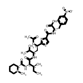 CC[C@H](C)[C@H](NC(=O)[C@H]1CCCCN1C)C(=O)N[C@H](C[C@@H](OC(C)=O)c1nc(C(=O)N[C@@H](Cc2ccc([N+](=O)[O-])cc2)C(=O)O)cs1)C(C)C